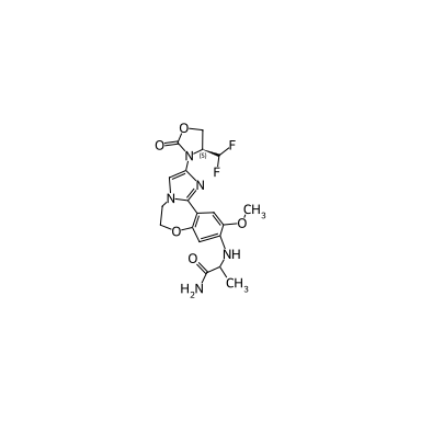 COc1cc2c(cc1NC(C)C(N)=O)OCCn1cc(N3C(=O)OC[C@H]3C(F)F)nc1-2